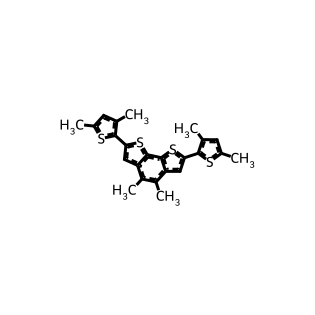 Cc1cc(C)c(-c2cc3c(C)c(C)c4cc(-c5sc(C)cc5C)sc4c3s2)s1